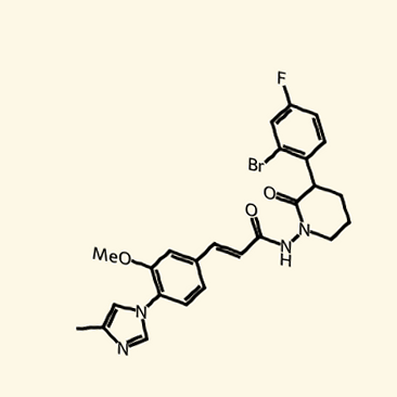 COc1cc(/C=C/C(=O)NN2CCCC(c3ccc(F)cc3Br)C2=O)ccc1-n1cnc(C)c1